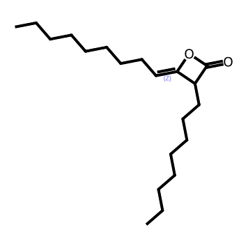 CCCCCCCC/C=C1\OC(=O)C1CCCCCCCC